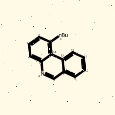 CCCCc1cccc2ncc3ccccc3c12